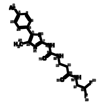 CC(=O)c1ccc(-c2sc(NC(=O)NCCC(=O)NCC(F)F)nc2C)cc1